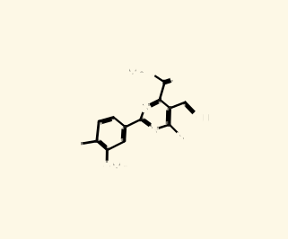 C=Cc1c(N)nc(-c2ccc(Cl)c(OC)c2)nc1C(=O)OC